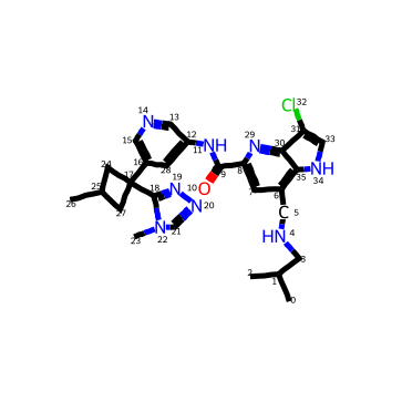 CC(C)CNCc1cc(C(=O)Nc2cncc(C3(c4nncn4C)CC(C)C3)c2)nc2c(Cl)c[nH]c12